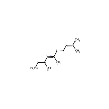 CC(C)=CCC/C(C)=C/C(O)CC(=O)O